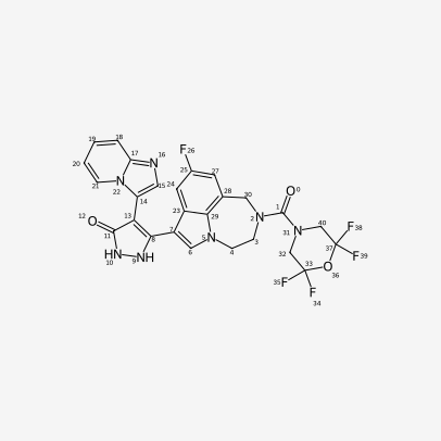 O=C(N1CCn2cc(-c3[nH][nH]c(=O)c3-c3cnc4ccccn34)c3cc(F)cc(c32)C1)N1CC(F)(F)OC(F)(F)C1